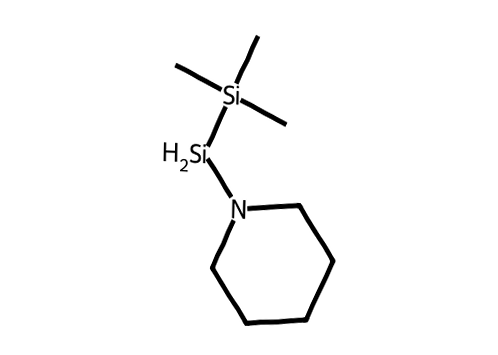 C[Si](C)(C)[SiH2]N1CCCCC1